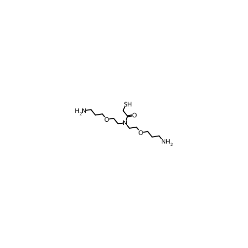 NCCCOCCN(CCOCCCN)C(=O)CS